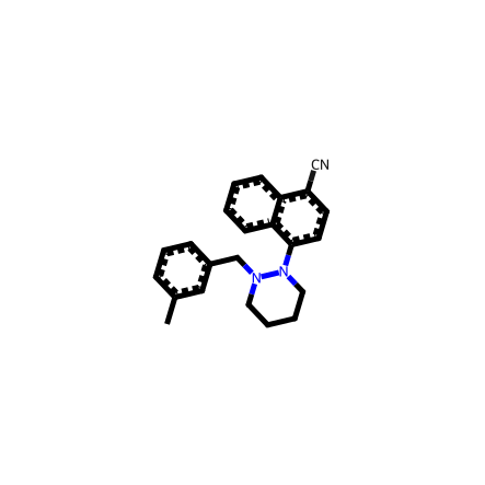 Cc1cccc(CN2CCCCN2c2ccc(C#N)c3ccccc23)c1